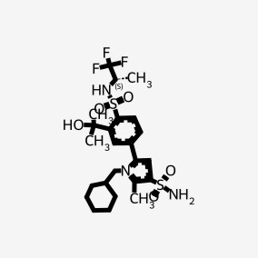 Cc1c(S(N)(=O)=O)cc(-c2ccc(S(=O)(=O)N[C@@H](C)C(F)(F)F)c(C(C)(C)O)c2)n1CC1CCCCC1